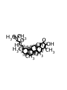 CC1=C(O)C(=O)C=C2C1=CC=C1[C@@]2(C)CC[C@@]2(C)[C@@H]3C[C@](C)(CNC(=O)CN(C)C)CC[C@@]3(C)CC[C@]12C